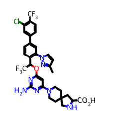 Cc1ccn(-c2cc(-c3ccc(C(F)(F)F)c(Cl)c3)ccc2C(Oc2cc(N3CCC4(CC3)CNC(C(=O)O)C4)nc(N)n2)C(F)(F)F)n1